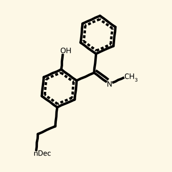 CCCCCCCCCCCCc1ccc(O)c(/C(=N/C)c2ccccc2)c1